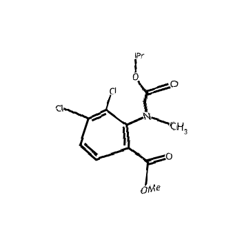 COC(=O)c1ccc(Cl)c(Cl)c1N(C)C(=O)OC(C)C